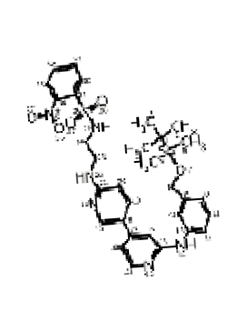 CC(C)(C)[Si](C)(C)OCc1cccc(Nc2cc(-c3ccc(NCCNS(=O)(=O)c4ccccc4[N+](=O)[O-])nc3)ccn2)c1